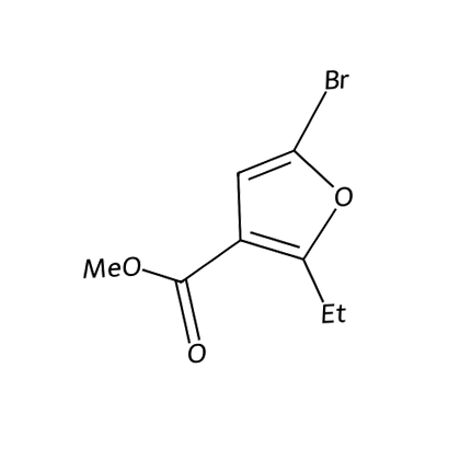 CCc1oc(Br)cc1C(=O)OC